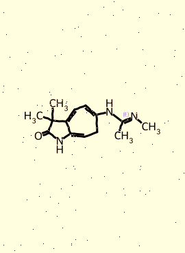 C/N=C(\C)NC1=CC=C2C(=CC1)NC(=O)C2(C)C